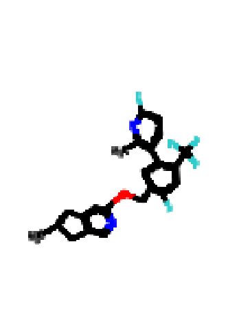 Cc1nc(F)ccc1-c1cc(COc2cc3c(cn2)CC(C)C3)c(F)cc1C(F)(F)F